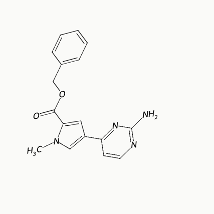 Cn1cc(-c2ccnc(N)n2)cc1C(=O)OCc1ccccc1